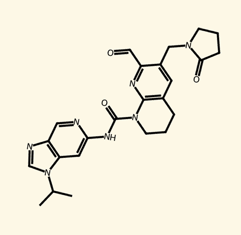 CC(C)n1cnc2cnc(NC(=O)N3CCCc4cc(CN5CCCC5=O)c(C=O)nc43)cc21